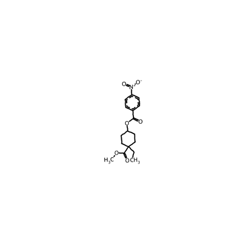 CCC1(C(=O)OC)CCC(OC(=O)c2ccc([N+](=O)[O-])cc2)CC1